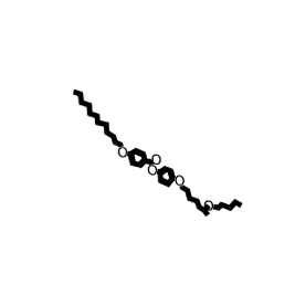 CCCCCCCCCCCCOc1ccc(C(=O)Oc2ccc(OCCCCCC(C)OCCCCC)cc2)cc1